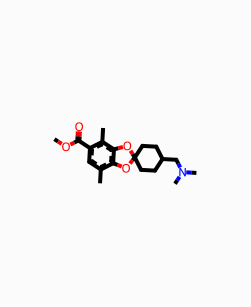 COC(=O)c1cc(C)c2c(c1C)OC1(CCC(CN(C)C)CC1)O2